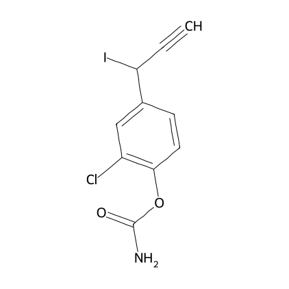 C#CC(I)c1ccc(OC(N)=O)c(Cl)c1